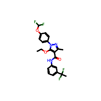 CCOc1c(C(=O)Nc2cccc(C(C)(F)F)c2)c(C)nn1-c1ccc(OC(F)F)cc1